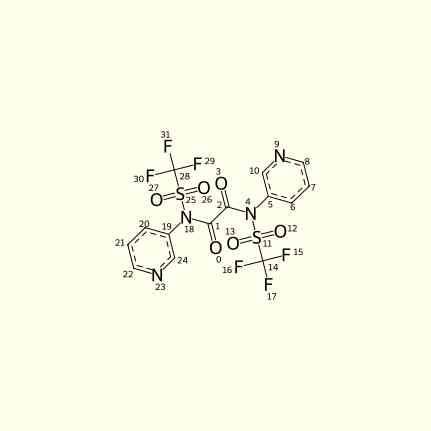 O=C(C(=O)N(c1cccnc1)S(=O)(=O)C(F)(F)F)N(c1cccnc1)S(=O)(=O)C(F)(F)F